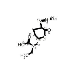 CCN(C[C@@H]1CCC(N=[N+]=[N-])C(=O)O1)C(=O)O